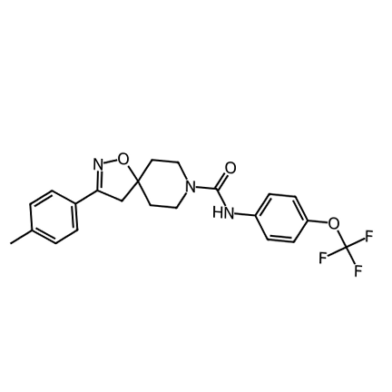 Cc1ccc(C2=NOC3(CCN(C(=O)Nc4ccc(OC(F)(F)F)cc4)CC3)C2)cc1